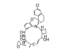 C[C@@H]1C/C=C/[C@H](O)[C@@H]2CC[C@H]2CN2C[C@@]3(CCCc4cc(Cl)ccc43)COc3ccc(cc32)C(=O)NS(=O)(=O)[C@H]1C[C@@H]1CCO1